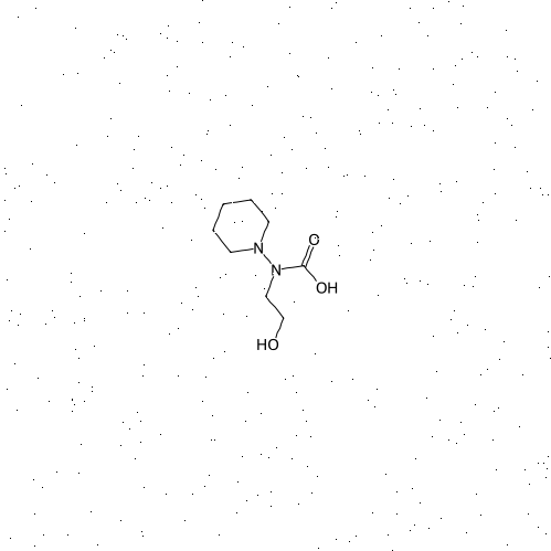 O=C(O)N(CCO)N1CCCCC1